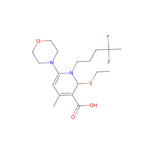 CCSC1C(C(=O)O)=C(C)C=C(N2CCOCC2)N1CCCC(C)(F)F